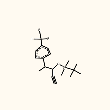 C#CC(O[Si](C)(C)C(C)(C)C)C(C)c1ccc(C(F)(F)F)cc1